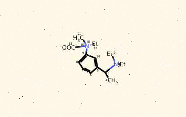 CCN(CC)C(C)c1cccc([N@+](C)(CC)C(=O)[O-])c1